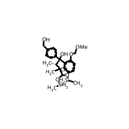 COCOc1ccccc1C(O)(c1ccc(CO)cc1)[C@@H](C)C(C)(C)C(O[SiH2]C)O[SiH2]C